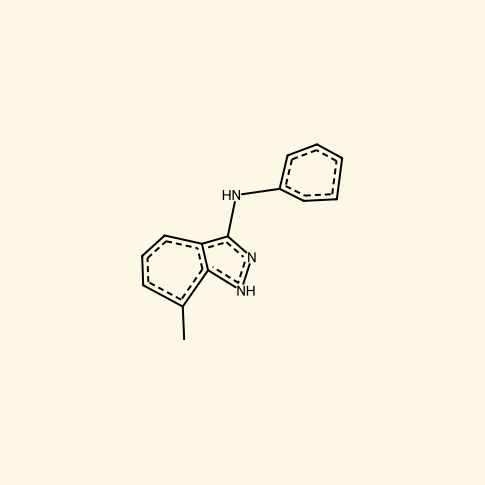 Cc1cccc2c(Nc3ccccc3)n[nH]c12